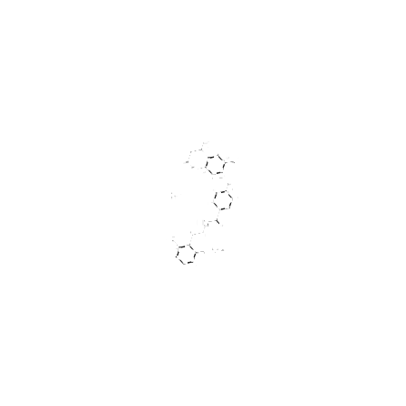 COc1cccc(Cl)c1CCNC(=O)c1ccc(Oc2cc3c(cc2Cl)C(C(=O)[O-])CCO3)cc1.[Na+]